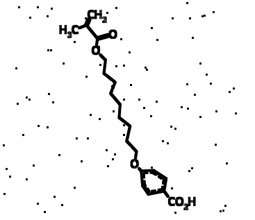 C=C(C)C(=O)OCCCCCCCCCOc1ccc(C(=O)O)cc1